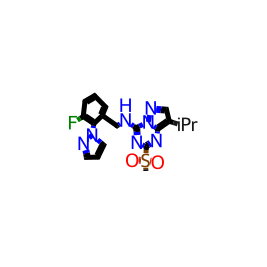 CC(C)c1cnn2c(NCc3cccc(F)c3-n3cccn3)nc(S(C)(=O)=O)nc12